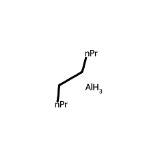 [AlH3].[CH2]CCCCCCC